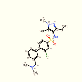 Cc1c(NS(=O)(=O)c2ccc(-c3cccc(CN(C)C)c3)c(Cl)c2)c(CC(C)C)nn1C